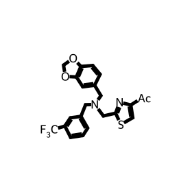 CC(=O)c1csc(CN(Cc2cccc(C(F)(F)F)c2)Cc2ccc3c(c2)OCO3)n1